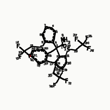 NC(=O)C(c1ccccc1SCC(F)(F)F)(c1ccccc1SCC(F)(F)F)c1ccccc1SCC(F)(F)F